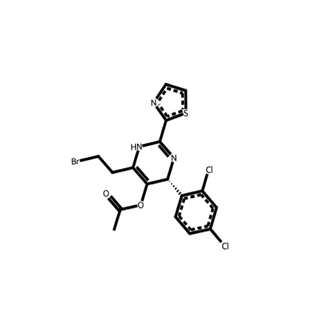 CC(=O)OC1=C(CCBr)NC(c2nccs2)=N[C@@H]1c1ccc(Cl)cc1Cl